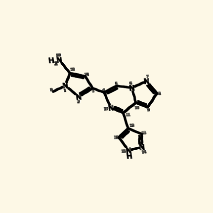 Cn1nc(-c2cn3nccc3c(-c3cn[nH]c3)n2)cc1N